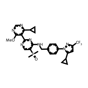 COc1ncnc(C2CC2)c1-c1ncc(P(C)(C)=O)c(NCc2ccc(-n3nc(C(F)(F)F)cc3C3CC3)cc2)n1